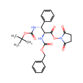 CC(C)(C)OC(=O)N[C@H](c1ccccc1)[C@H](NC(=O)OCc1ccccc1)C(=O)ON1C(=O)CCC1=O